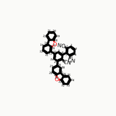 N#Cc1cccc(C#N)c1-c1cc(-c2cccc3c2oc2ccccc23)cc(-c2ccc3oc4ccccc4c3c2)c1C#N